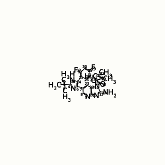 CC(C)(C)c1nc(-c2cnc3nc(N)n(S(=O)(=O)C(C)(C)C)c3c2)c(-c2ccc(F)cc2F)[nH]1